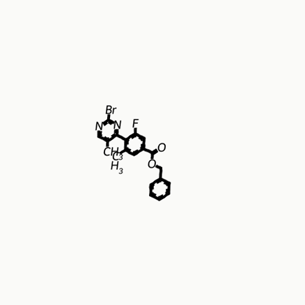 Cc1cnc(Br)nc1-c1c(C)cc(C(=O)OCc2ccccc2)cc1F